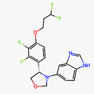 Fc1c(OCCC(F)F)ccc([C@H]2COCN2c2ccc3[nH]cnc3c2)c1F